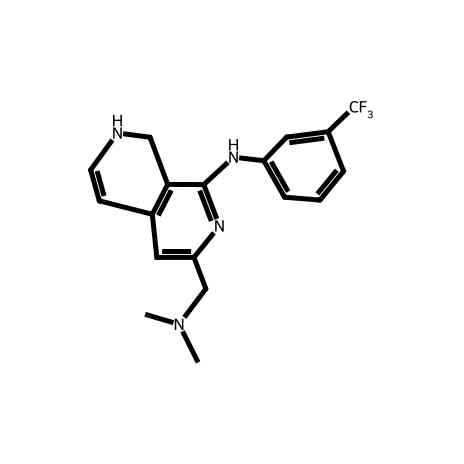 CN(C)Cc1cc2c(c(Nc3cccc(C(F)(F)F)c3)n1)CNC=C2